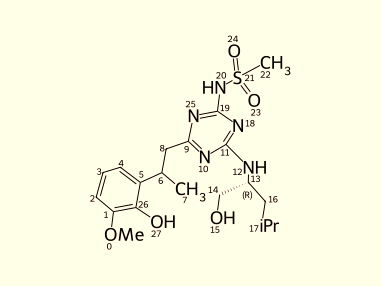 COc1cccc(C(C)Cc2nc(N[C@@H](CO)CC(C)C)nc(NS(C)(=O)=O)n2)c1O